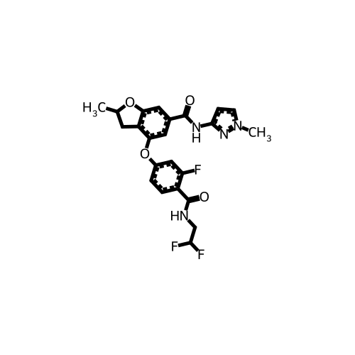 CC1Cc2c(Oc3ccc(C(=O)NCC(F)F)c(F)c3)cc(C(=O)Nc3ccn(C)n3)cc2O1